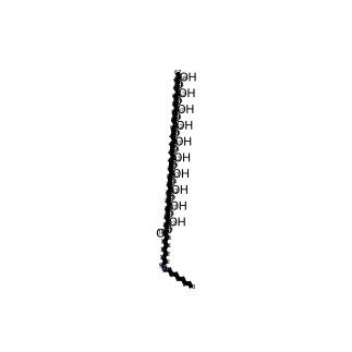 CCCCCCCC/C=C\CCCCCCCC(=O)OCC(O)COCC(O)COCC(O)COCC(O)COCC(O)COCC(O)COCC(O)COCC(O)COCC(O)COCC(C)O